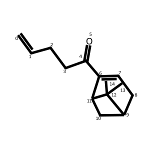 C=CCCC(=O)C1=CCC2CC1C2(C)C